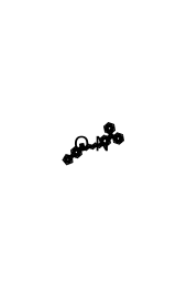 O=C(CCCCCN1CCC(=C(c2ccccc2)c2ccccc2)CC1)c1ccc(C2CCCC2)cc1